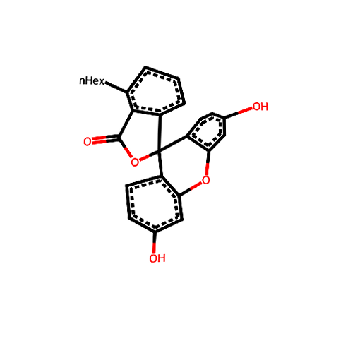 CCCCCCc1cccc2c1C(=O)OC21c2ccc(O)cc2Oc2cc(O)ccc21